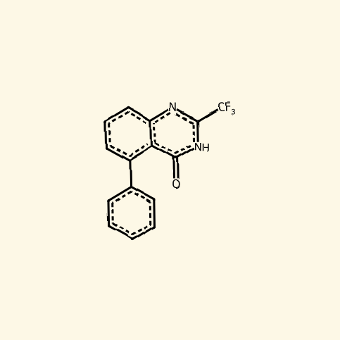 O=c1[nH]c(C(F)(F)F)nc2cccc(-c3ccccc3)c12